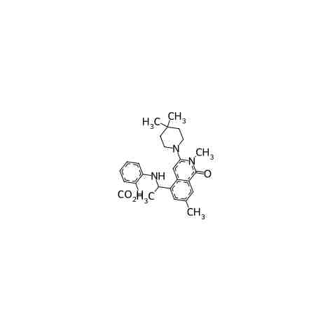 Cc1cc(C(C)Nc2ccccc2C(=O)O)c2cc(N3CCC(C)(C)CC3)n(C)c(=O)c2c1